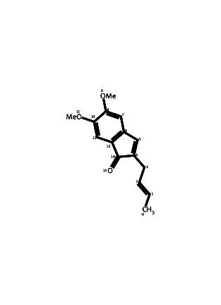 CC=CCC1=Cc2cc(OC)c(OC)cc2C1=O